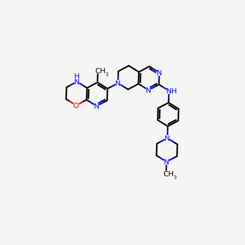 Cc1c(N2CCc3cnc(Nc4ccc(N5CCN(C)CC5)cc4)nc3C2)cnc2c1NCCO2